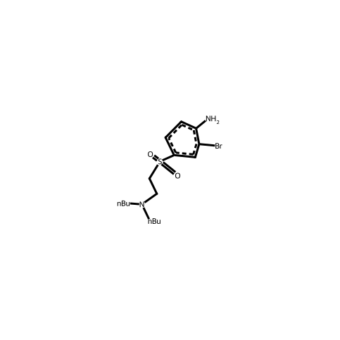 CCCCN(CCCC)CCS(=O)(=O)c1ccc(N)c(Br)c1